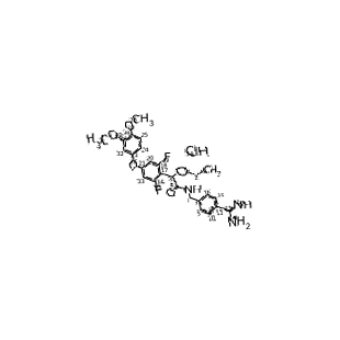 CCOC(C(=O)NCc1ccc(C(=N)N)cc1)c1c(F)cc(Oc2ccc(OC)c(OC)c2)cc1F.Cl